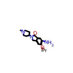 CC(C)Oc1cc2c(cc1N)C(=O)N(C1CCN(C)CC1)C2